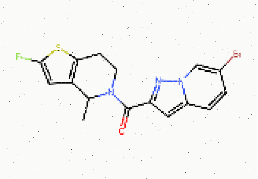 CC1c2cc(F)sc2CCN1C(=O)c1cc2ccc(Br)cn2n1